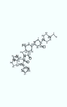 CCN1CCN(c2ccc(-c3cc(F)c4c(c3)C(=O)N(C(C(=O)Nc3nccs3)c3ncn5c3CCC5)C4)cc2Cl)CC1